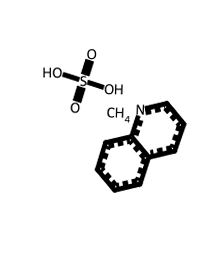 C.O=S(=O)(O)O.c1ccc2ncccc2c1